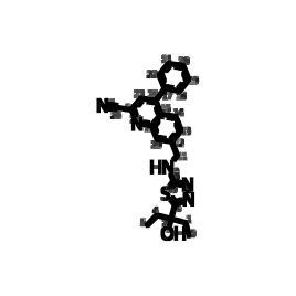 CCC(O)(CC)c1nnc(NCc2ccc3c(-c4ccccc4)cc(C#N)nc3c2)s1